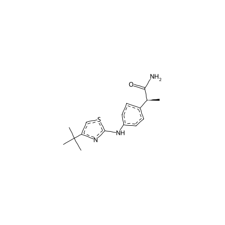 C[C@H](C(N)=O)c1ccc(Nc2nc(C(C)(C)C)cs2)cc1